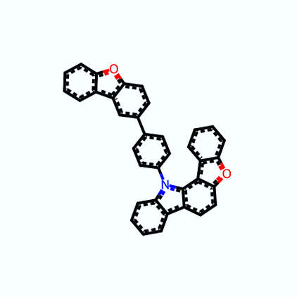 c1ccc2c(c1)oc1ccc(-c3ccc(-n4c5ccccc5c5ccc6oc7ccccc7c6c54)cc3)cc12